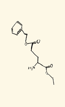 CCOC(=O)C(N)CCC(=O)OCc1ccccc1